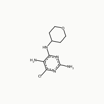 Nc1nc(Cl)c(N)c(NC2CCOCC2)n1